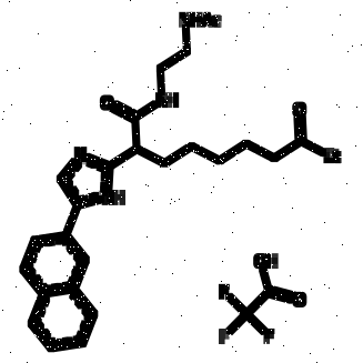 CCC(=O)CCCCCC(C(=O)NCCNC(C)=O)c1ncc(-c2ccc3ccccc3c2)[nH]1.O=C(O)C(F)(F)F